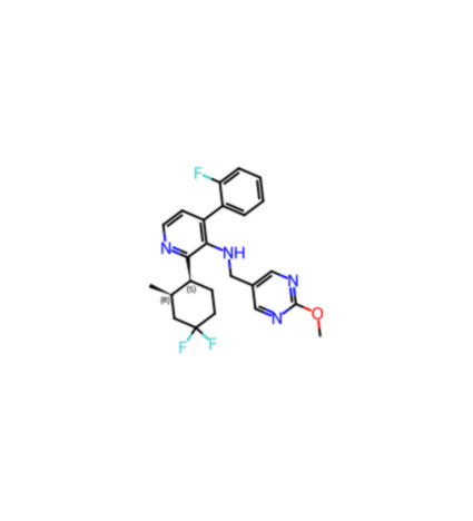 COc1ncc(CNc2c(-c3ccccc3F)ccnc2[C@H]2CCC(F)(F)C[C@H]2C)cn1